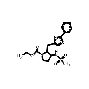 CCOC(=O)N1CCC(NS(C)(=O)=O)C1Cc1csc(-c2ccccc2)n1